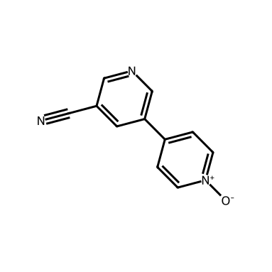 N#Cc1cncc(-c2cc[n+]([O-])cc2)c1